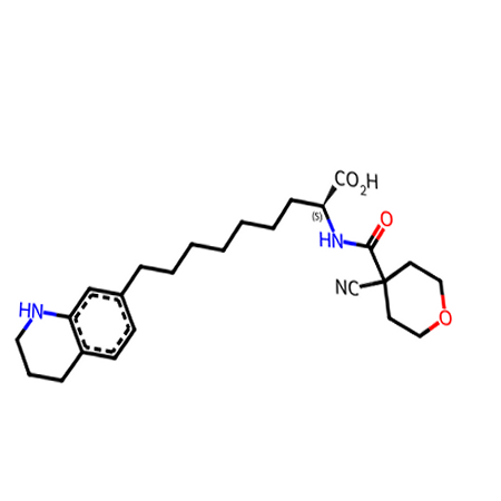 N#CC1(C(=O)N[C@@H](CCCCCCCc2ccc3c(c2)NCCC3)C(=O)O)CCOCC1